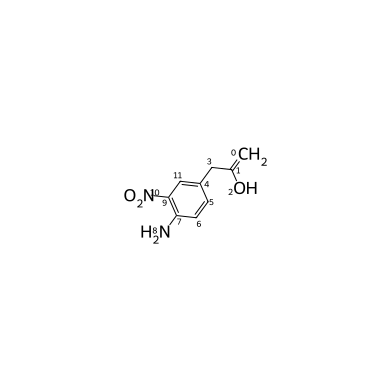 C=C(O)Cc1ccc(N)c([N+](=O)[O-])c1